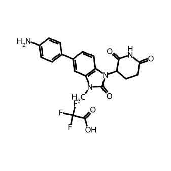 Cn1c(=O)n(C2CCC(=O)NC2=O)c2ccc(-c3ccc(N)cc3)cc21.O=C(O)C(F)(F)F